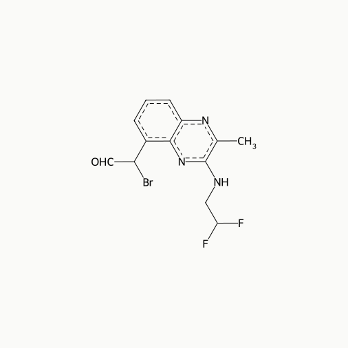 Cc1nc2cccc(C(Br)C=O)c2nc1NCC(F)F